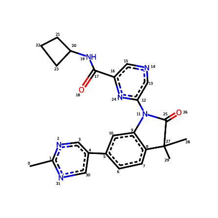 Cc1ncc(-c2ccc3c(c2)N(c2cncc(C(=O)NC4CCC4)n2)C(=O)C3(C)C)cn1